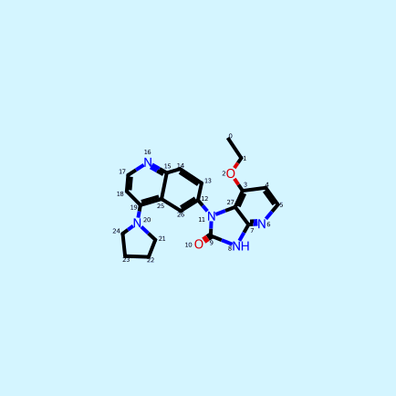 CCOc1ccnc2[nH]c(=O)n(-c3ccc4nccc(N5CCCC5)c4c3)c12